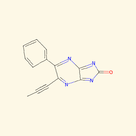 CC#Cc1nc2c(nc1-c1ccccc1)=NC(=O)N=2